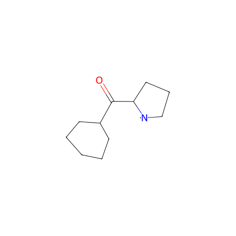 O=C(C1CCCCC1)C1CCC[N]1